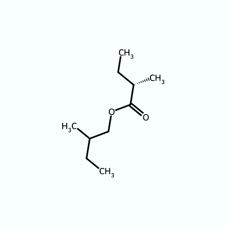 CCC(C)COC(=O)[C@@H](C)CC